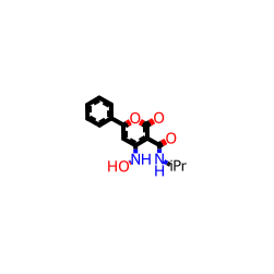 CC(C)NC(=O)c1c(NO)cc(-c2ccccc2)oc1=O